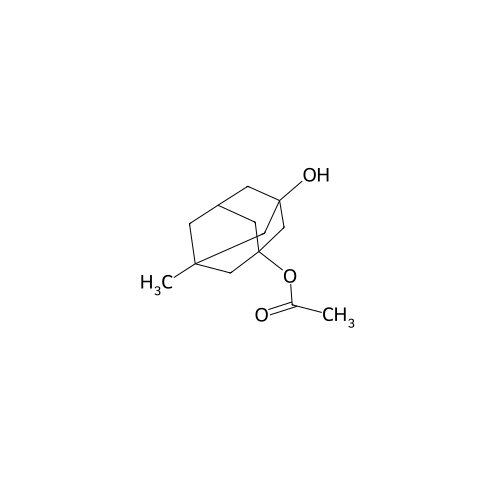 CC(=O)OC12CC3CC(C)(CC(O)(C3)C1)C2